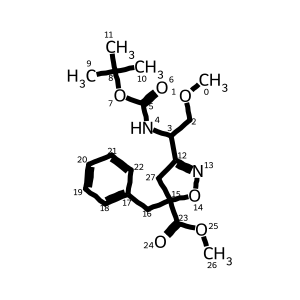 COCC(NC(=O)OC(C)(C)C)C1=NOC(Cc2ccccc2)(C(=O)OC)C1